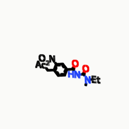 CCN(C)C(=O)NC(=O)c1ccc(CC(C)=O)c([N+](=O)[O-])c1